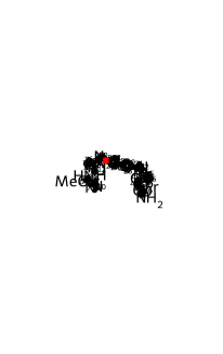 COCN[C@@H](Cc1cncn1C)C(=O)N1CCC[C@H]1c1ncc(-c2ccc(-c3ccc(-c4cnc([C@@H]5CCCN5C(=O)[C@@](C)(OC(N)=O)C(C)C)[nH]4)cc3)cc2)[nH]1